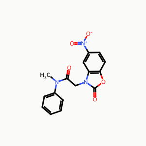 CN(C(=O)Cn1c(=O)oc2ccc([N+](=O)[O-])cc21)c1ccccc1